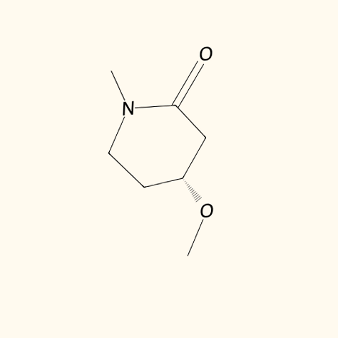 CO[C@@H]1CCN(C)C(=O)C1